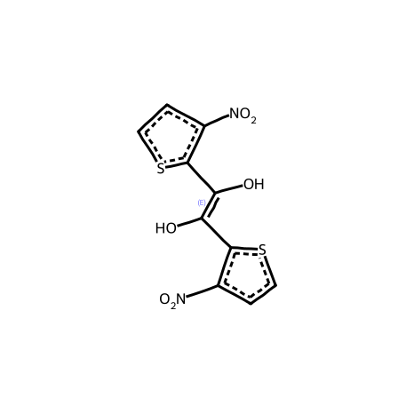 O=[N+]([O-])c1ccsc1/C(O)=C(\O)c1sccc1[N+](=O)[O-]